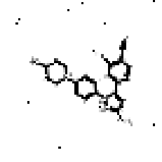 N#Cc1ccc(-c2cc(N)nn2-c2ccc(N3CCC(O)CC3)cc2)cc1F